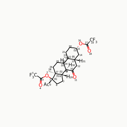 CC(=O)[C@]1(OC(=O)C(F)(F)F)CC[C@H]2[C@@H]3C(=O)C[C@H]4C[C@@H](OC(=O)C(F)(F)F)CC[C@]4(C)[C@H]3CC[C@@]21C